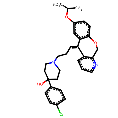 CC(Oc1ccc2c(c1)/C(=C/CCN1CCC(O)(c3ccc(Cl)cc3)CC1)c1cccnc1CO2)C(=O)O